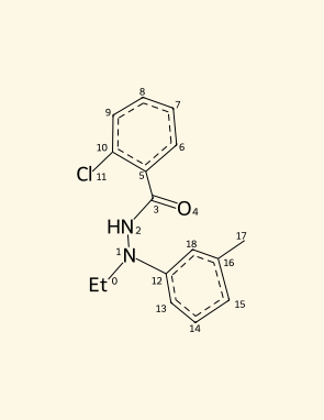 CCN(NC(=O)c1ccccc1Cl)c1cccc(C)c1